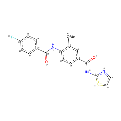 COc1cc(C(=O)Nc2nccs2)ccc1NC(=O)c1ccc(F)cc1